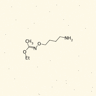 CCOC(C)=NOCCCCN